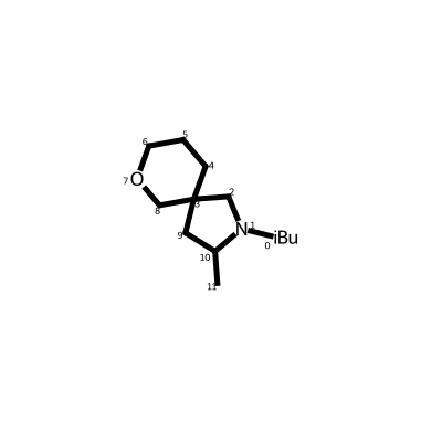 CCC(C)N1CC2(CCCOC2)CC1C